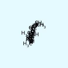 COc1cc(C(=O)N2CCN(C(C)C)CC2)c(F)cc1Nc1ncc(C(F)(F)F)c(-c2ccn(C)n2)n1